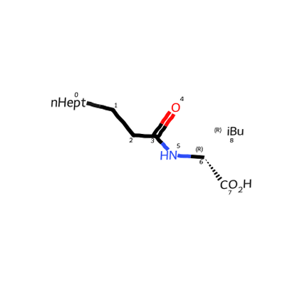 CCCCCCCCCC(=O)N[C@@H](C(=O)O)[C@H](C)CC